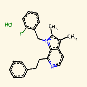 Cc1c(C)n(Cc2ccccc2F)c2c(CCc3ccccc3)nccc12.Cl